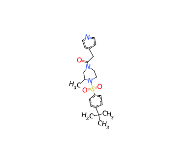 CC1CN(C(=O)Cc2ccncc2)CCN1S(=O)(=O)c1ccc(C(C)(C)C)cc1